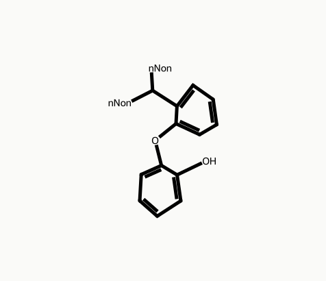 CCCCCCCCCC(CCCCCCCCC)c1ccccc1Oc1ccccc1O